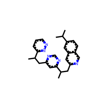 CC(C)c1ccc2cnc(CC(C)c3cc(CC(C)c4cccnn4)ncn3)cc2c1